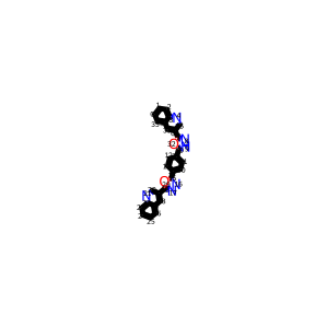 c1ccc2ncc(-c3nnc(-c4ccc(-c5nnc(-c6cnc7ccccc7c6)o5)cc4)o3)cc2c1